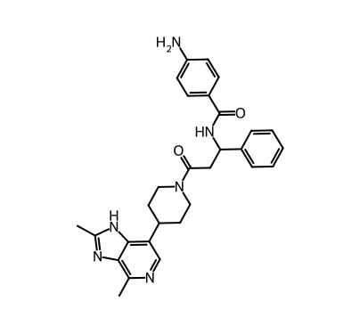 Cc1nc2c(C)ncc(C3CCN(C(=O)CC(NC(=O)c4ccc(N)cc4)c4ccccc4)CC3)c2[nH]1